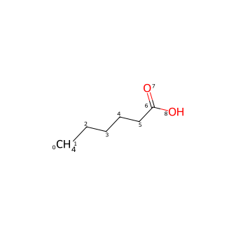 C.CCCCCC(=O)O